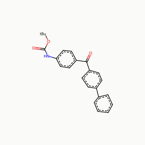 CC(C)(C)OC(=O)Nc1ccc(C(=O)c2ccc(-c3ccccc3)cc2)cc1